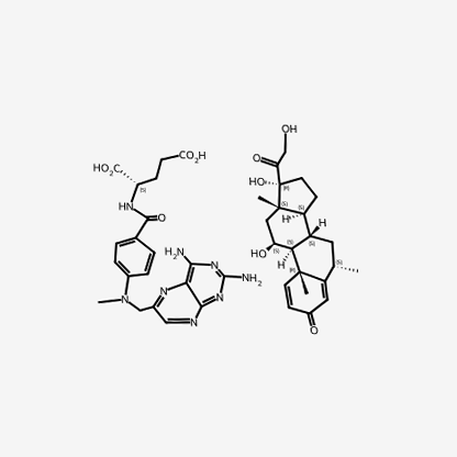 CN(Cc1cnc2nc(N)nc(N)c2n1)c1ccc(C(=O)N[C@@H](CCC(=O)O)C(=O)O)cc1.C[C@H]1C[C@@H]2[C@H]([C@@H](O)C[C@@]3(C)[C@H]2CC[C@]3(O)C(=O)CO)[C@@]2(C)C=CC(=O)C=C12